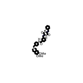 COc1cc2c(cc1OC)CN(Cc1ccc(NC(=O)c3cccc(/C=c4\[nH]c(=O)/c(=C/c5ccccc5)n(C)c4=O)c3)cc1)CC2